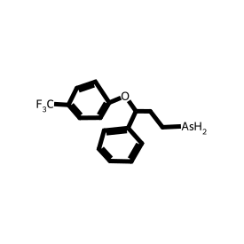 FC(F)(F)c1ccc(OC(CC[AsH2])c2ccccc2)cc1